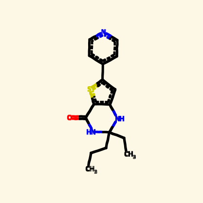 CCCC1(CC)NC(=O)c2sc(-c3ccncc3)cc2N1